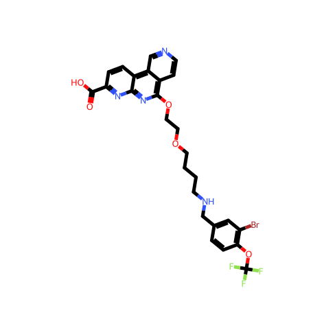 O=C(O)c1ccc2c(n1)nc(OCCOCCCCNCc1ccc(OC(F)(F)F)c(Br)c1)c1ccncc12